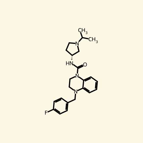 CC(C)N1CC[C@@H](NC(=O)N2CCN(Cc3ccc(F)cc3)c3ccccc32)C1